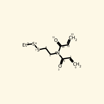 C=CC(=O)N(CCSSCC)C(=O)C=C